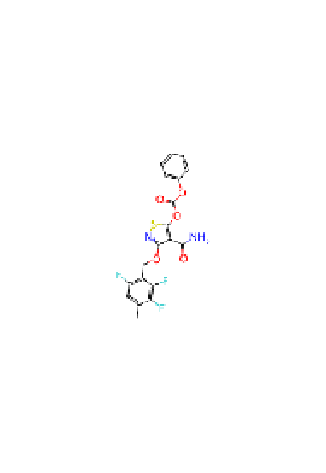 Cc1cc(F)c(COc2nsc(OC(=O)Oc3ccccc3)c2C(N)=O)c(F)c1F